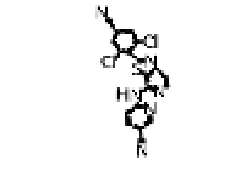 N#Cc1ccc(Nc2nccc3nc(-c4c(Cl)cc(C#N)cc4Cl)sc23)nc1